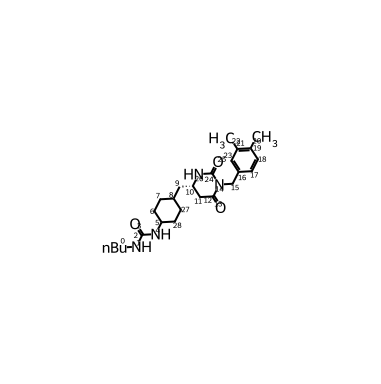 CCCCNC(=O)NC1CCC(C[C@H]2CC(=O)N(Cc3ccc(C)c(C)c3)C(=O)N2)CC1